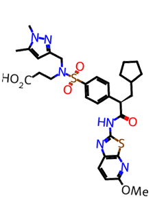 COc1ccc2nc(NC(=O)[C@H](CC3CCCC3)c3ccc(S(=O)(=O)N(CCC(=O)O)Cc4cc(C)n(C)n4)cc3)sc2n1